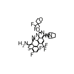 N#Cc1c(N)sc2c(F)ccc(-c3c(C(F)(F)F)cc4c(N5CC6CCC(C5)N6)nc(OCC5(C(F)F)CCOC5)nc4c3F)c12